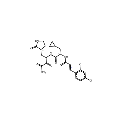 NC(=O)C(=O)C(C[C@@H]1CCNC1=O)NC(=O)[C@H](CC1CC1)NC(=O)/C=C/c1ccc(Cl)cc1Cl